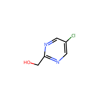 OCc1ncc(Cl)cn1